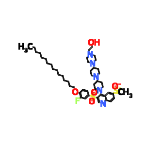 CCCCCCCCCCCCCCCCOc1ccc(S(=O)(=O)c2cnc3ccc([S+](C)[O-])cc3c2N2CCC(N3CCC(N4CCN(CCO)CC4)CC3)CC2)cc1F